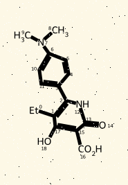 CCc1c(-c2ccc(N(C)C)cc2)[nH]c(=O)c(C(=O)O)c1O